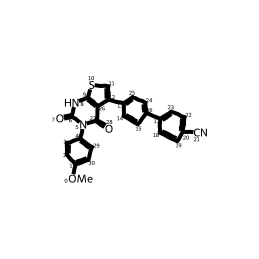 COc1ccc(-n2c(=O)[nH]c3scc(-c4ccc(-c5ccc(C#N)cc5)cc4)c3c2=O)cc1